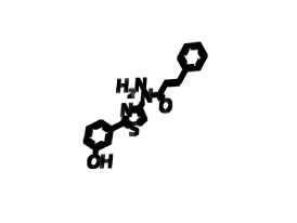 NN(C(=O)C=Cc1ccccc1)c1csc(-c2cccc(O)c2)n1